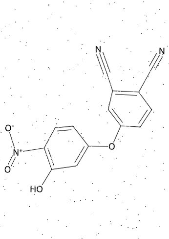 N#Cc1ccc(Oc2ccc([N+](=O)[O-])c(O)c2)cc1C#N